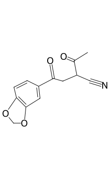 CC(=O)C(C#N)CC(=O)c1ccc2c(c1)OCO2